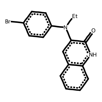 CCN(c1ccc(Br)cc1)c1cc2ccccc2[nH]c1=O